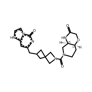 O=C1CO[C@H]2CCN(C(=O)N3CC4(CC(Cc5cc6[nH]ccn6c(=O)n5)C4)C3)C[C@H]2N1